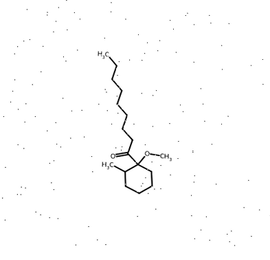 CCCCCCCCC(=O)C1(OC)CCCCC1C